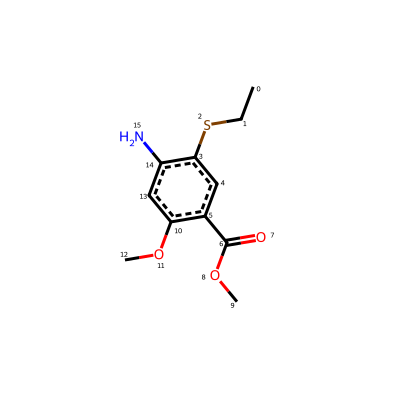 CCSc1cc(C(=O)OC)c(OC)cc1N